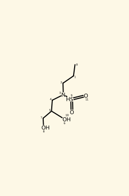 CCCN(CC(O)CO)[SH](=O)=O